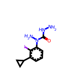 NNC(=O)N(N)c1cccc(C2CC2)c1I